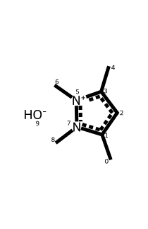 Cc1cc(C)[n+](C)n1C.[OH-]